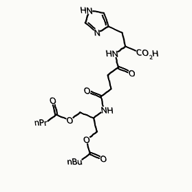 CCCCC(=O)OCC(COC(=O)CCC)NC(=O)CCC(=O)NC(Cc1c[nH]cn1)C(=O)O